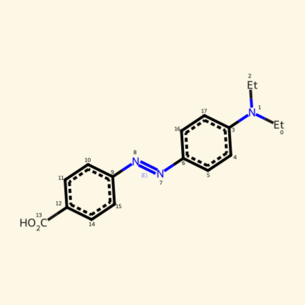 CCN(CC)c1ccc(/N=N/c2ccc(C(=O)O)cc2)cc1